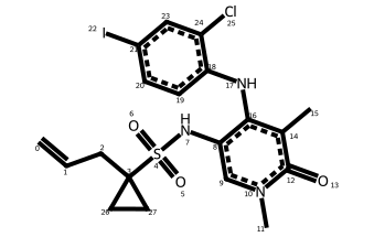 C=CCC1(S(=O)(=O)Nc2cn(C)c(=O)c(C)c2Nc2ccc(I)cc2Cl)CC1